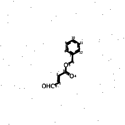 O=CC=CC(=O)OCc1ccccc1